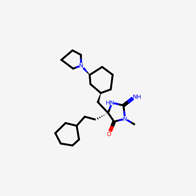 CN1C(=N)N[C@](CCC2CCCCC2)(C[C@@H]2CCC[C@H](N3CCCC3)C2)C1=O